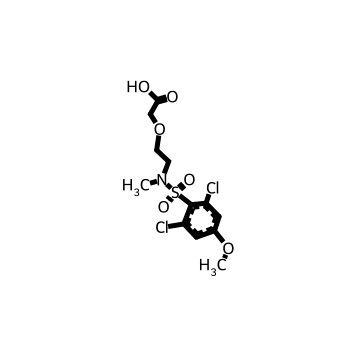 COc1cc(Cl)c(S(=O)(=O)N(C)CCOCC(=O)O)c(Cl)c1